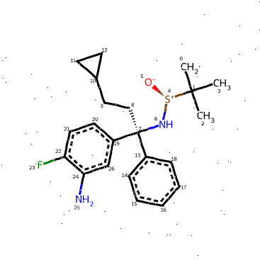 [CH2]C(C)(C)[S@+]([O-])N[C@@](CCC1CC1)(c1ccccc1)c1ccc(F)c(N)c1